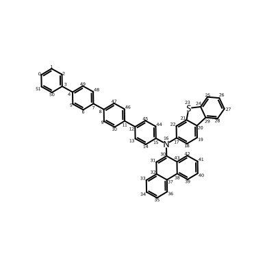 c1ccc(-c2ccc(-c3ccc(-c4ccc(N(c5ccc6c(c5)sc5ccccc56)c5cc6ccccc6c6ccccc56)cc4)cc3)cc2)cc1